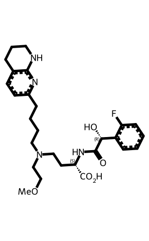 COCCN(CCCCc1ccc2c(n1)NCCC2)CC[C@H](NC(=O)[C@H](O)c1ccccc1F)C(=O)O